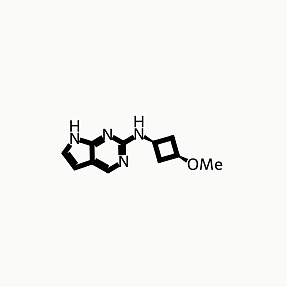 CO[C@H]1C[C@@H](Nc2ncc3cc[nH]c3n2)C1